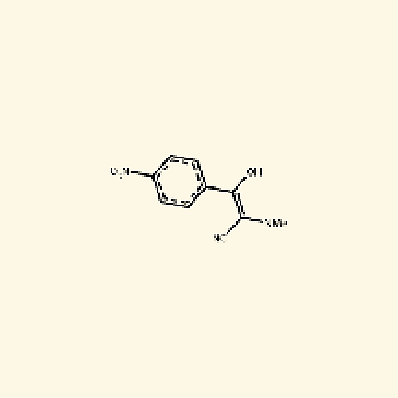 CN/C(C#N)=C(\O)c1ccc([N+](=O)[O-])cc1